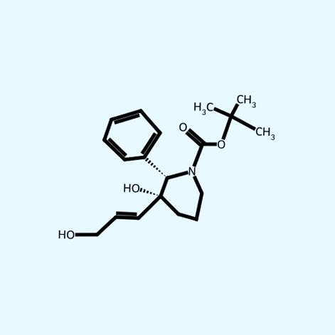 CC(C)(C)OC(=O)N1CCC[C@@](O)(C=CCO)[C@@H]1c1ccccc1